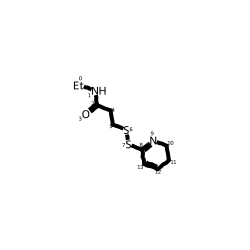 CCNC(=O)CCSSC1=NCCC=C1